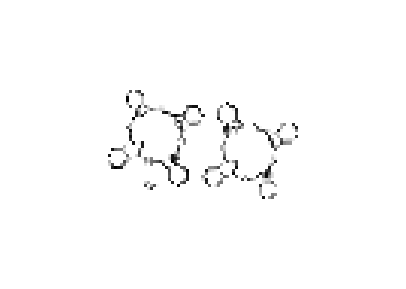 [Sc].c1ccc2c(c1)-c1nc-2nc2[nH]c(nc3nc(nc4[nH]c(n1)c1ccccc41)-c1ccccc1-3)c1ccccc21.c1ccc2c(c1)-c1nc-2nc2[nH]c(nc3nc(nc4[nH]c(n1)c1ccccc41)-c1ccccc1-3)c1ccccc21